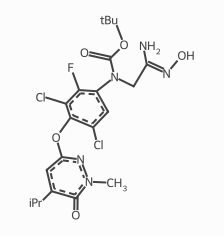 CC(C)c1cc(Oc2c(Cl)cc(N(C/C(N)=N/O)C(=O)OC(C)(C)C)c(F)c2Cl)nn(C)c1=O